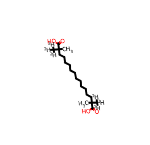 [2H]C([2H])([2H])C(C)(CCCCCCCCCCCCC(C)(C(=O)O)C([2H])([2H])[2H])C(=O)O